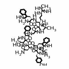 CNC(=N)NCCC[C@H](NC(=O)[C@H](CC(C)C)NC(=O)CNC(=O)[C@H](Cc1ccccc1)NC(=O)[C@@H](NC(=O)[C@H](CC(N)=O)NC(=O)[C@@H](Cc1c[nH]c2ccccc12)NC(=O)[C@@H](Cc1ccc(O)cc1)NC(C)=O)[C@@H](C)O)C(=O)N[C@@H](Cc1c[nH]c2ccccc12)C(N)=O